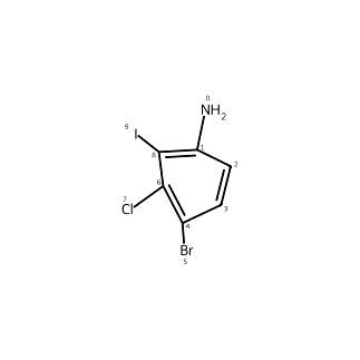 Nc1ccc(Br)c(Cl)c1I